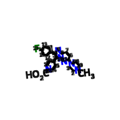 CN1CCN(c2ccc3nc(-c4ccc(F)cc4)c(C4C=CN(C(=O)O)C=C4)n3n2)CC1